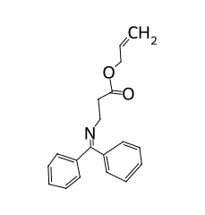 C=CCOC(=O)CCN=C(c1ccccc1)c1ccccc1